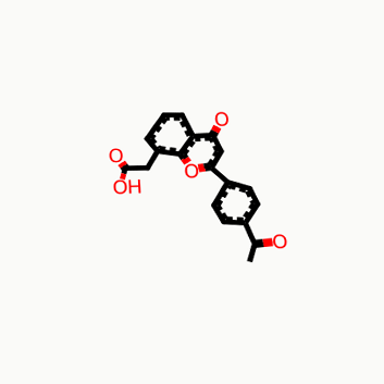 CC(=O)c1ccc(-c2cc(=O)c3cccc(CC(=O)O)c3o2)cc1